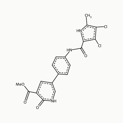 COC(=O)c1cc(-c2ccc(NC(=O)c3[nH]c(C)c(Cl)c3Cl)cc2)c[nH]c1=O